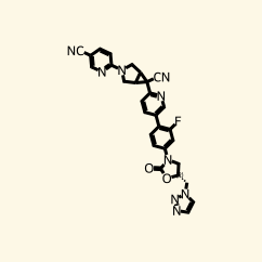 N#Cc1ccc(N2CC3C(C2)C3(C#N)c2ccc(-c3ccc(N4C[C@H](Cn5ccnn5)OC4=O)cc3F)cn2)nc1